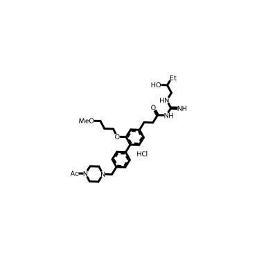 CCC(O)CNC(=N)NC(=O)CCc1ccc(-c2ccc(CN3CCN(C(C)=O)CC3)cc2)c(OCCCOC)c1.Cl